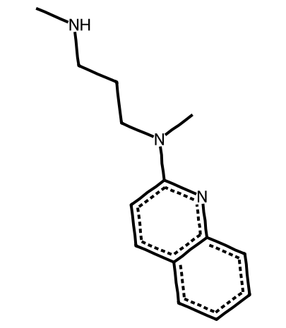 CNCCCN(C)c1ccc2ccccc2n1